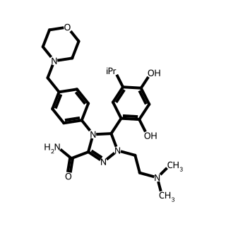 CC(C)c1cc(C2N(CCN(C)C)N=C(C(N)=O)N2c2ccc(CN3CCOCC3)cc2)c(O)cc1O